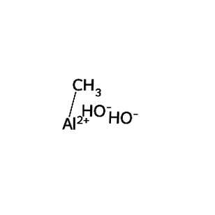 [CH3][Al+2].[OH-].[OH-]